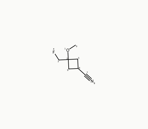 COC1(CF)CC(C#N)C1